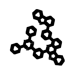 c1ccc(-c2nc(-c3ccccc3)nc(-c3cccc(-c4nc5c(-c6cccc(-c7cccc8c7sc7ccccc78)c6)cccc5c5c4oc4ccccc45)c3)n2)cc1